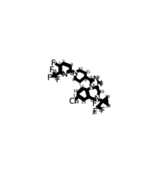 Fc1ccc(N2CCC(c3nnc4n3-c3ccc(Cl)cc3CN(C3(C(F)(F)F)CC3)C4)CC2)nc1C(F)(F)F